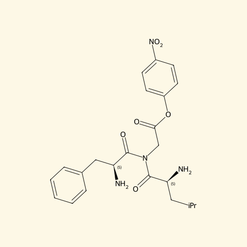 CC(C)C[C@H](N)C(=O)N(CC(=O)Oc1ccc([N+](=O)[O-])cc1)C(=O)[C@@H](N)Cc1ccccc1